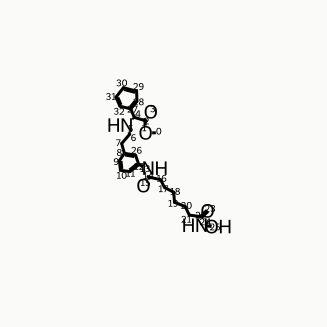 COC(=O)[C@@H](NCCc1cccc(NC(=O)CCCCCCC(=O)NO)c1)c1ccccc1